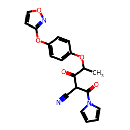 CC(Oc1ccc(Oc2ccon2)cc1)C(=O)C(C#N)C(=O)n1cccc1